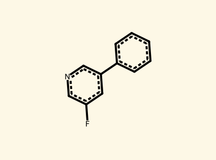 Fc1cncc(-c2ccccc2)c1